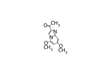 COc1cc(OC)n2cc(C(C)=O)nc2c1